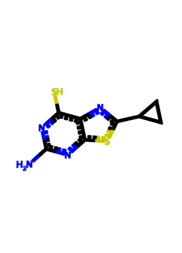 Nc1nc(S)c2nc(C3CC3)sc2n1